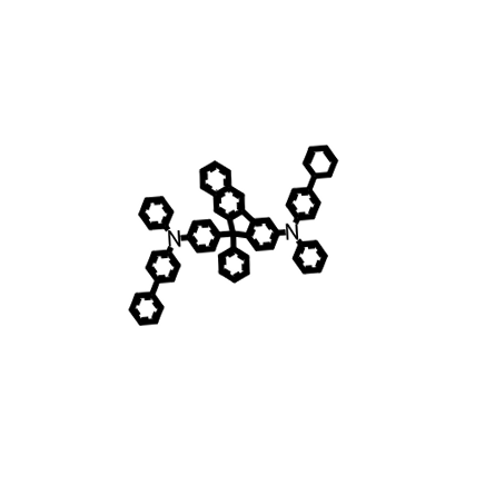 C1=CCC(c2ccc(N(c3ccccc3)c3ccc4c(c3)-c3cc5ccccc5cc3C4(c3ccccc3)c3ccc(N(c4ccccc4)c4ccc(-c5ccccc5)cc4)cc3)cc2)C=C1